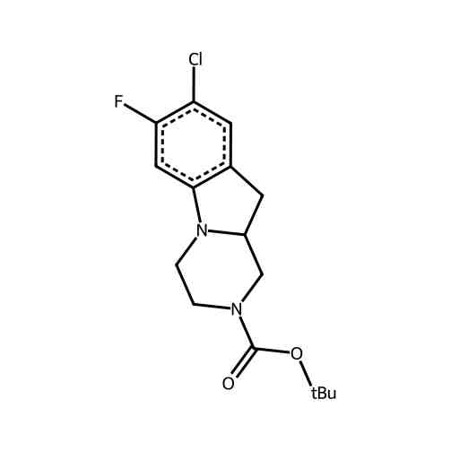 CC(C)(C)OC(=O)N1CCN2c3cc(F)c(Cl)cc3CC2C1